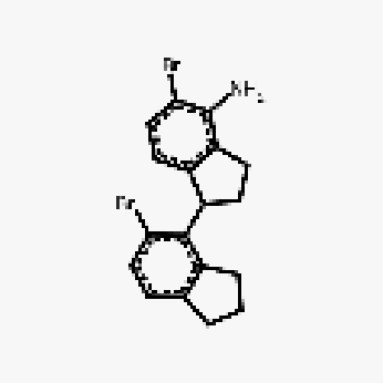 Nc1c(Br)ccc2c1CCC2c1c(Br)ccc2c1CCC2